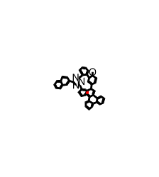 C1=CC2Oc3cccc(-c4nc(-c5ccccc5)nc(-c5ccc6ccccc6c5)n4)c3C2C=C1C1C=c2c(c3ccccc3c3ccccc23)=CC1